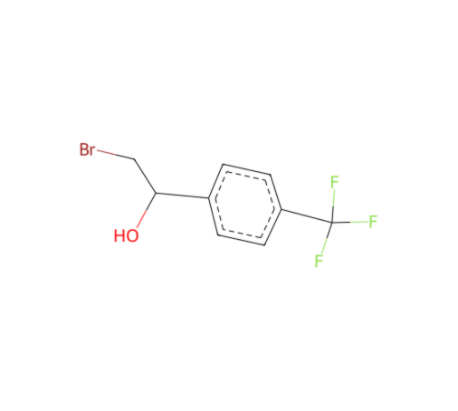 OC(CBr)c1ccc(C(F)(F)F)cc1